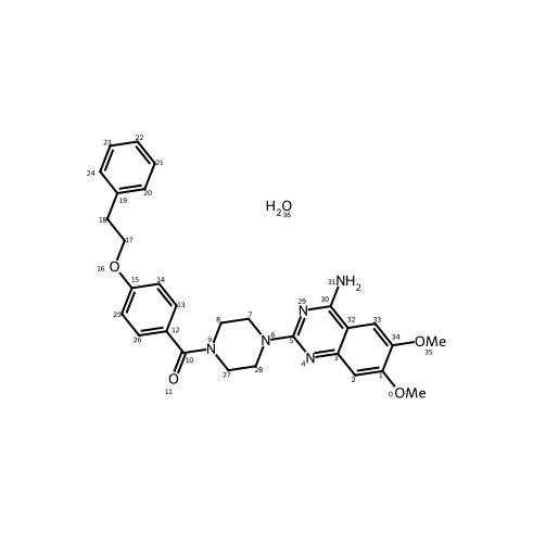 COc1cc2nc(N3CCN(C(=O)c4ccc(OCCc5ccccc5)cc4)CC3)nc(N)c2cc1OC.O